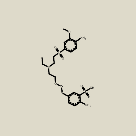 CCN(CCOOSc1ccc(N)c(S(=O)(=O)O)c1)CCS(=O)(=O)c1ccc(N)c(OC)c1